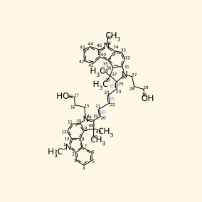 Cn1c2ccccc2c2c3c(ccc21)[N+](CCCO)=C(/C=C/C=C/C=C1/N(CCCO)c2ccc4c(c2C1(C)C)c1ccccc1n4C)C3(C)C